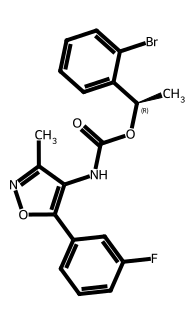 Cc1noc(-c2cccc(F)c2)c1NC(=O)O[C@H](C)c1ccccc1Br